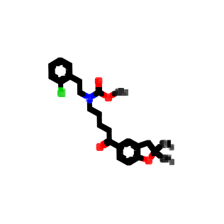 CC(C)(C)OC(=O)N(CCCCC(=O)c1ccc2c(c1)CC(C)(C)O2)CCc1ccccc1Cl